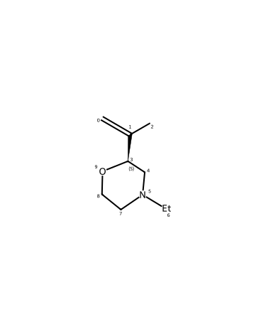 C=C(C)[C@H]1CN(CC)CCO1